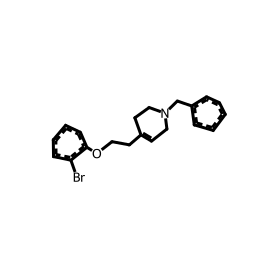 Brc1ccccc1OCCC1=CCN(Cc2ccccc2)CC1